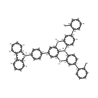 Cc1ccccc1-c1ccc2c(c1)Oc1cc(-c3ccc(-n4c5ccccc5c5ccccc54)cc3)cc3c1B2c1ccc(-c2ccccc2C)cc1O3